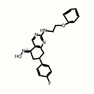 O/N=C1\CC(c2ccc(F)cc2)Cc2nc(NCCOc3ccccc3)ncc21